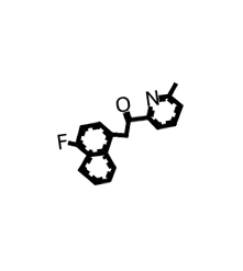 Cc1cccc(C(=O)Cc2ccc(F)c3ccccc23)n1